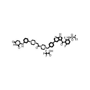 CCN(C)S(=O)(=O)Nc1ccc(F)c(C(=O)c2c[nH]c3ncc(-c4ccc(CN5CCN(C(=O)CN6CCN(c7cccc(NC8CCC(=O)NC8=O)c7)CC6)CC5)cc4)cc23)c1F.O=C(O)C(F)(F)F